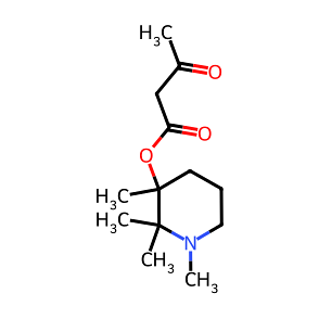 CC(=O)CC(=O)OC1(C)CCCN(C)C1(C)C